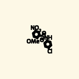 COc1ccc([N+](=O)[O-])cc1S(=O)(=O)Nc1ccc(Cl)cc1